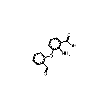 Nc1c(Oc2ccccc2C=O)cccc1C(=O)O